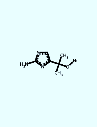 CC(C)(O[N])c1csc(N)n1